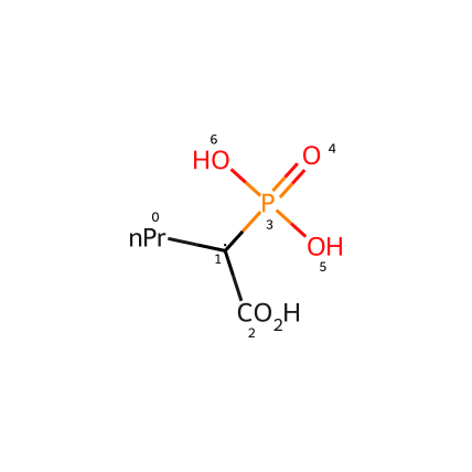 [CH2]CC[C](C(=O)O)P(=O)(O)O